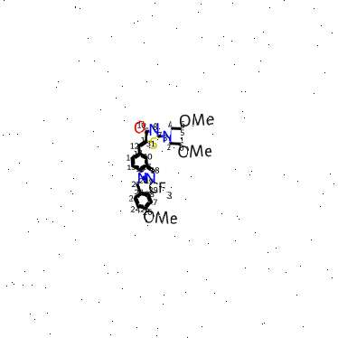 COCCN(CCOC)C1=NC(=O)C(=Cc2ccc3c(cnn3Cc3ccc(OC)cc3C(F)(F)F)c2)S1